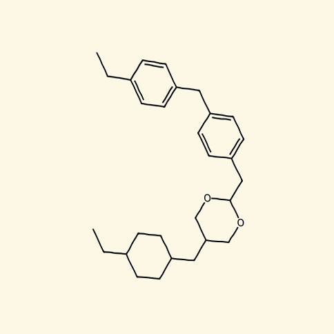 CCc1ccc(Cc2ccc(CC3OCC(CC4CCC(CC)CC4)CO3)cc2)cc1